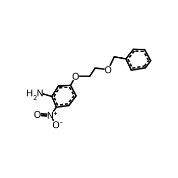 Nc1cc(OCCOCc2ccccc2)ccc1[N+](=O)[O-]